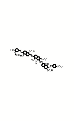 Nc1c(N=Nc2ccc3cc(S(=O)(=O)O)c(N=Nc4ccc(S(=O)(=O)O)cc4)c(O)c3c2)c(S(=O)(=O)O)cc2ccc(N=Nc3ccc4c(O)c(N=Nc5ccc(O)c(OC=O)c5)ccc4c3S(=O)(=O)O)c(O)c12